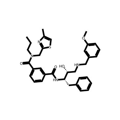 CCCN(Cc1nc(C)cs1)C(=O)c1cccc(C(=O)N[C@@H](Cc2ccccc2)[C@H](O)CNCc2cccc(OC)c2)c1